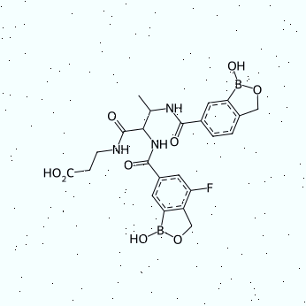 CC(NC(=O)c1ccc2c(c1)B(O)OC2)C(NC(=O)c1cc(F)c2c(c1)B(O)OC2)C(=O)NCCC(=O)O